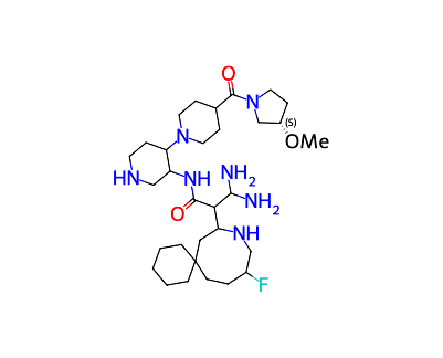 CO[C@H]1CCN(C(=O)C2CCN(C3CCNCC3NC(=O)C(C(N)N)C3CC4(CCCCC4)CCC(F)CN3)CC2)C1